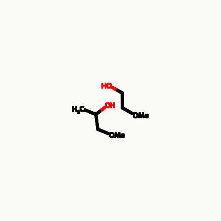 COCC(C)O.COCCO